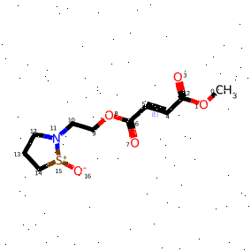 COC(=O)/C=C/C(=O)OCCN1CCC[S+]1[O-]